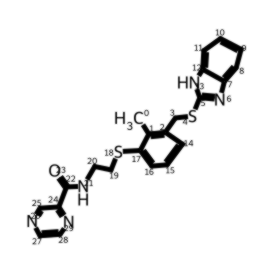 Cc1c(CSc2nc3ccccc3[nH]2)cccc1SCCNC(=O)c1cnccn1